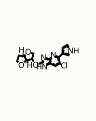 Clc1cc2[nH]c(OC3CO[C@@H]4CCO[C@H]34)nc2nc1-c1cc[nH]c1